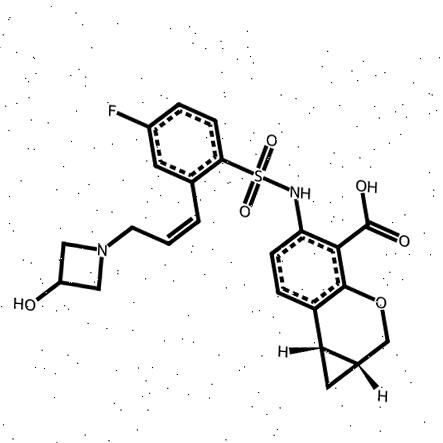 O=C(O)c1c(NS(=O)(=O)c2ccc(F)cc2/C=C\CN2CC(O)C2)ccc2c1OC[C@@H]1C[C@H]21